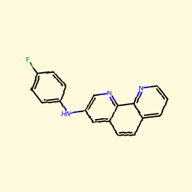 Fc1ccc(Nc2cnc3c(ccc4cccnc43)c2)cc1